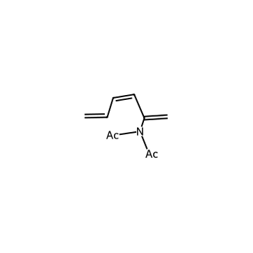 C=C/C=C\C(=C)N(C(C)=O)C(C)=O